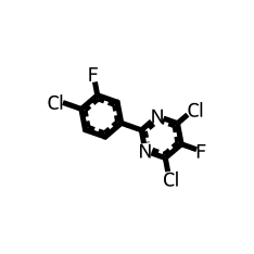 Fc1cc(-c2nc(Cl)c(F)c(Cl)n2)ccc1Cl